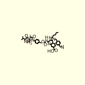 CCCCc1nc2c(NC(=O)OCc3ccc(NC(=O)[C@H](C)NC(=O)[C@@H](N)C(C)C)cc3)nc3cc(C(=O)O)ccc3c2n1Cc1ccc(CN(C)C)cc1